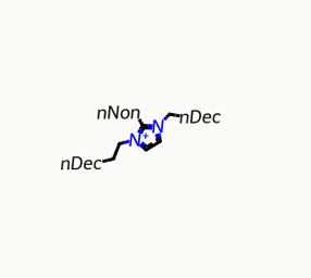 CCCCCCCCCCCC[n+]1ccn(CCCCCCCCCCC)c1CCCCCCCCC